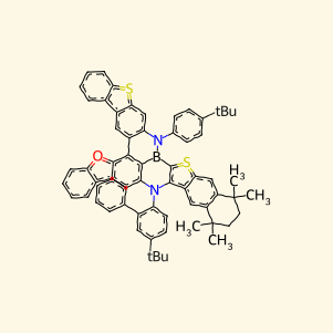 CC(C)(C)c1ccc(N2B3c4sc5cc6c(cc5c4N(c4ccc(C(C)(C)C)cc4-c4ccccc4)c4cc5c(oc7ccccc75)c(c43)-c3cc4c(cc32)sc2ccccc24)C(C)(C)CCC6(C)C)cc1